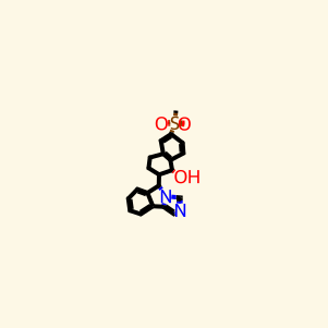 CS(=O)(=O)c1ccc2c(c1)CCC(C1c3ccccc3-c3cncn31)C2O